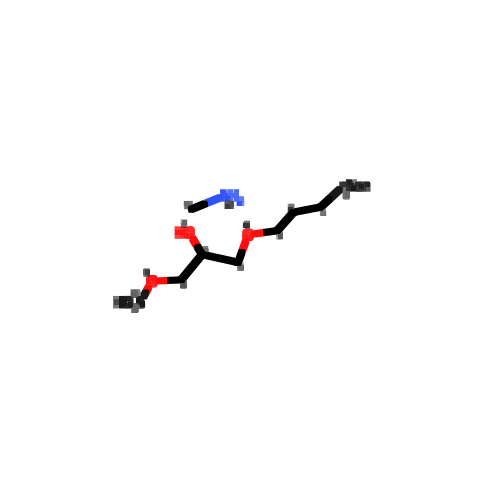 CCCCCCCCCCCCOCC(O)COS(=O)(=O)O.CN